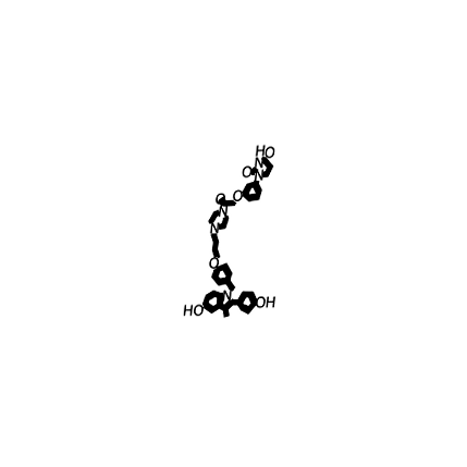 Cc1c(-c2ccc(O)cc2)n(Cc2ccc(OCCCCN3CCN(C(=O)COc4cccc(N5CCC(=O)NC5=O)c4)CC3)cc2)c2ccc(O)cc12